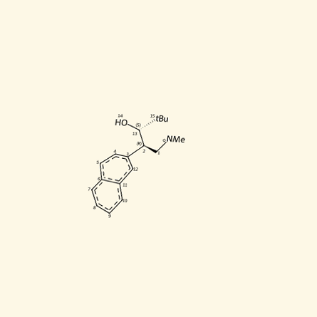 CNC[C@@H](c1ccc2ccccc2c1)[C@H](O)C(C)(C)C